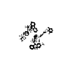 C[N+]12CCC(CC1)C(NC(=O)C1(O)c3ccccc3-c3ccccc31)C2.Cc1cccc(C)c1OCCCCC[N+]12CCC(CC1)[C@H](NC(=O)C1c3ccccc3Oc3ccccc31)C2.O=C([O-])C(F)(F)F.[Br-]